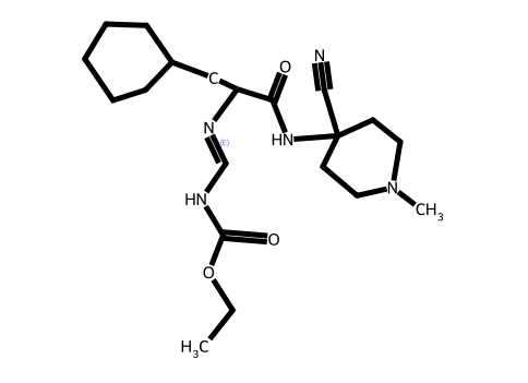 CCOC(=O)N/C=N/C(CC1CCCCC1)C(=O)NC1(C#N)CCN(C)CC1